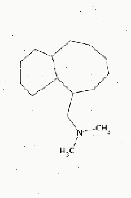 CN(C)CC1CCCCCC2CCCCC21